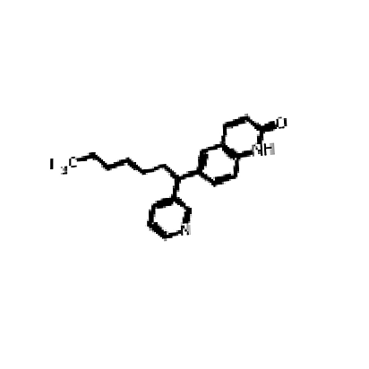 CCCCCCC(c1cccnc1)c1ccc2[nH]c(=O)ccc2c1